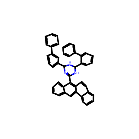 c1ccc(-c2cccc(C3N=C(c4c5ccccc5cc5c4ccc4ccccc45)NC(c4ccccc4-c4ccccc4)N3)c2)cc1